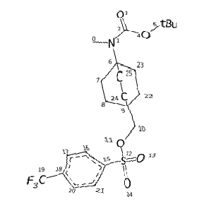 CN(C(=O)OC(C)(C)C)C12CCC(COS(=O)(=O)c3ccc(C(F)(F)F)cc3)(CC1)CC2